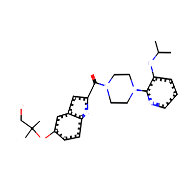 CC(C)Nc1cccnc1N1CCN(C(=O)c2cc3cc(OC(C)(C)CO)ccc3[nH]2)CC1